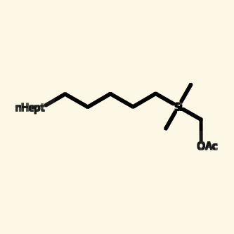 CCCCCCCCCCCC[Si](C)(C)COC(C)=O